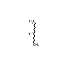 CCCCCC[SiH2]CCCCC